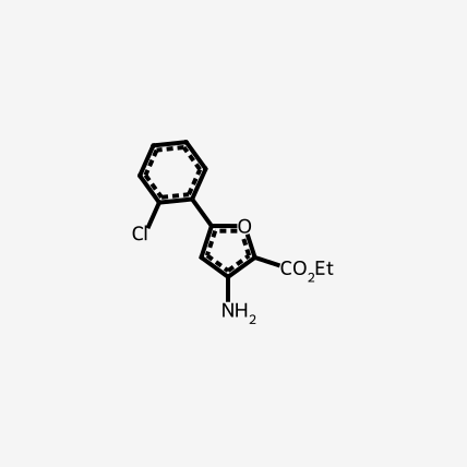 CCOC(=O)c1oc(-c2ccccc2Cl)cc1N